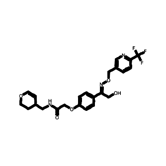 O=C(COc1ccc(C(CO)=NOCc2ccc(C(F)(F)F)nc2)cc1)NCC1C=COCC1